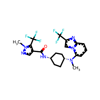 Cn1ncc(C(=O)N[C@H]2CC[C@@H](N(C)c3cccc4nc(C(F)(F)F)cn34)CC2)c1C(F)(F)F